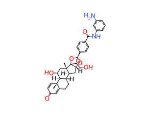 C[C@]12C=CC(=O)C=C1CC[C@@H]1[C@@H]2[C@@H](O)C[C@@]2(C)[C@H]1C[C@H]1O[C@H](c3ccc(C(=O)Nc4cccc(N)c4)cc3)O[C@]12C(=O)CO